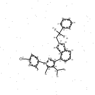 Cc1nc(Cl)ccc1-n1nc(-c2cccc3nn(CC(F)(F)c4ccccc4)cc23)c(C(C)C)c1C